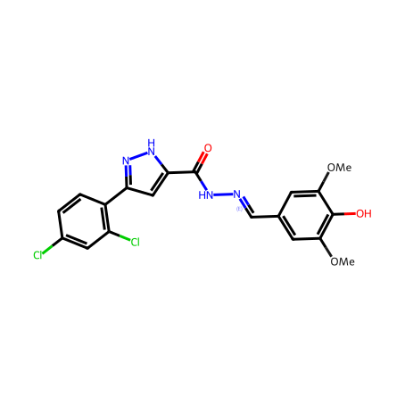 COc1cc(/C=N/NC(=O)c2cc(-c3ccc(Cl)cc3Cl)n[nH]2)cc(OC)c1O